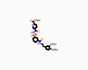 COC(=O)c1ccc(C(=O)NS(=O)(=O)c2cccc(C(=O)NCCc3ccc(OC)c(OC)c3)c2)cn1